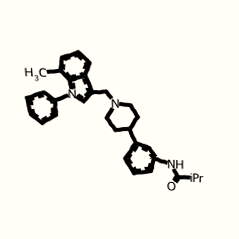 Cc1cccc2c(CN3CCC(c4cccc(NC(=O)C(C)C)c4)CC3)cn(-c3ccccc3)c12